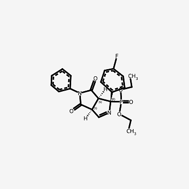 CCOP(=O)(OCC)[C@]1(c2ccc(F)cc2)N=C[C@H]2C(=O)N(c3ccccc3)C(=O)[C@H]21